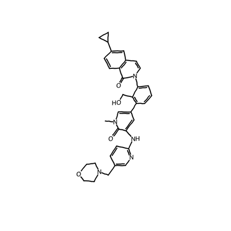 Cn1cc(-c2cccc(-n3ccc4cc(C5CC5)ccc4c3=O)c2CO)cc(Nc2ccc(CN3CCOCC3)cn2)c1=O